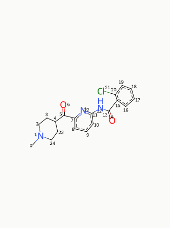 CN1CCC(C(=O)c2cccc(NC(=O)c3ccccc3Cl)n2)CC1